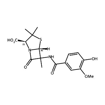 COc1cc(C(=O)NC2(C)C(=O)N3[C@@H](C(=O)O)C(C)(C)S[C@@H]32)ccc1O